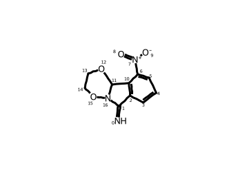 N=C1c2cccc([N+](=O)[O-])c2C2OCCON12